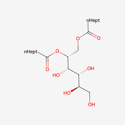 CCCCCCCC(=O)OC[C@@H](OC(=O)CCCCCCC)[C@@H](O)[C@H](O)[C@H](O)CO